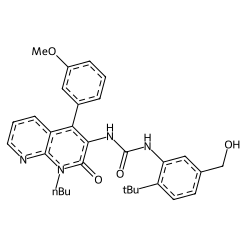 CCCCn1c(=O)c(NC(=O)Nc2cc(CO)ccc2C(C)(C)C)c(-c2cccc(OC)c2)c2cccnc21